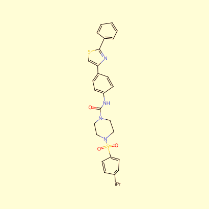 CC(C)c1ccc(S(=O)(=O)N2CCN(C(=O)Nc3ccc(-c4csc(-c5ccccc5)n4)cc3)CC2)cc1